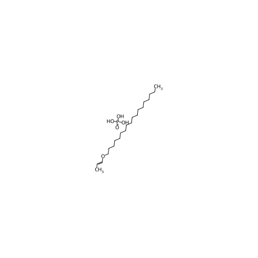 CC=COCCCCCCCCCCCCCCCCCC.O=P(O)(O)O